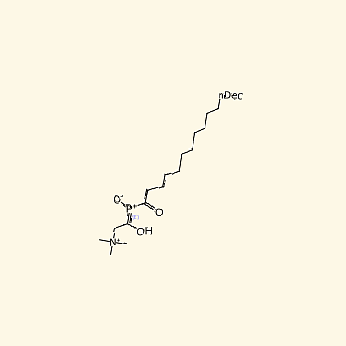 CCCCCCCCCCCCCCCCCCCCC(=O)/[P+]([O-])=C(\O)C[N+](C)(C)C